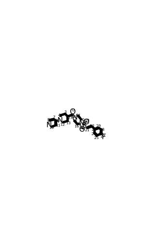 O=C(C1CCN(c2ccncc2)CC1)N1CCN(S(=O)(=O)C=Cc2ccc(F)cc2)CC1